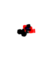 C[C@@H](C(=O)O)N(C(=O)OCC1c2ccccc2-c2ccccc21)C1CCC1